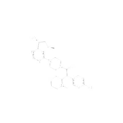 C[C@@H]1C[C@H](O)c2ncnc(N3CCN(C(=O)C(c4ccc(Cl)cc4)C4COCCN4C)CC3)c21